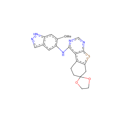 COc1cc2[nH]ncc2cc1Nc1ncnc2sc3c(c12)CCC1(C3)OCCO1